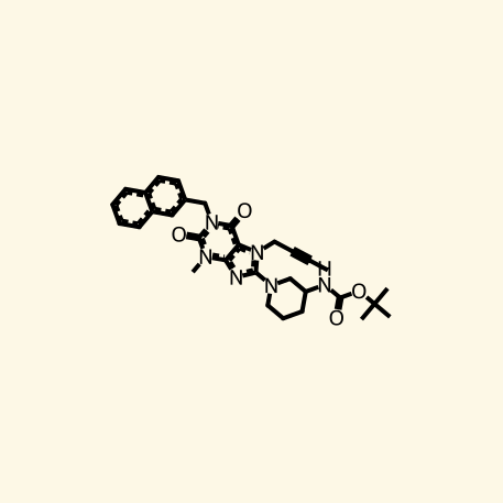 CC#CCn1c(N2CCCC(NC(=O)OC(C)(C)C)C2)nc2c1c(=O)n(Cc1ccc3ccccc3c1)c(=O)n2C